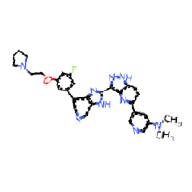 CN(C)c1cncc(-c2ccc3[nH]nc(-c4nc5c(-c6cc(F)cc(OCCN7CCCC7)c6)cncc5[nH]4)c3n2)c1